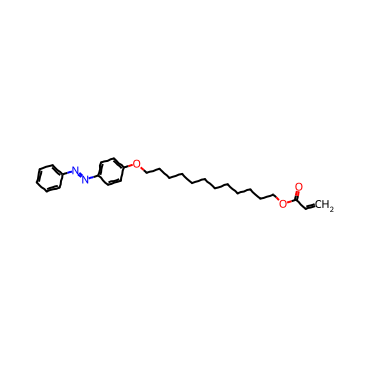 C=CC(=O)OCCCCCCCCCCCCOc1ccc(N=Nc2ccccc2)cc1